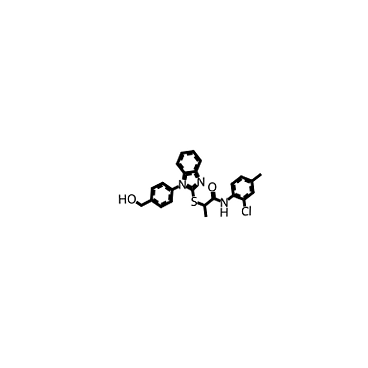 Cc1ccc(NC(=O)C(C)Sc2nc3ccccc3n2-c2ccc(CO)cc2)c(Cl)c1